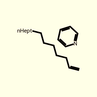 C=CCCCCCCCCCCCC.c1ccncc1